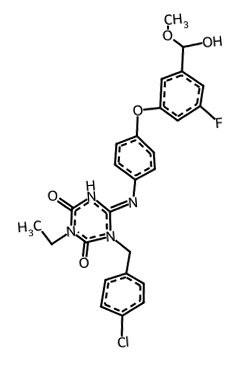 CCn1c(=O)[nH]/c(=N\c2ccc(Oc3cc(F)cc(C(O)OC)c3)cc2)n(Cc2ccc(Cl)cc2)c1=O